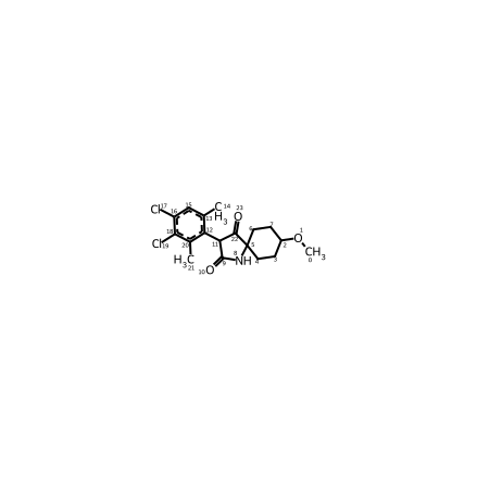 COC1CCC2(CC1)NC(=O)C(c1c(C)cc(Cl)c(Cl)c1C)C2=O